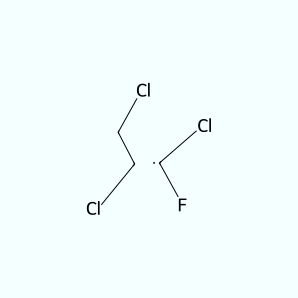 ClCCCl.F[CH]Cl